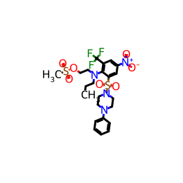 CCCN(CCOS(C)(=O)=O)c1c(C(F)(F)F)cc([N+](=O)[O-])cc1S(=O)(=O)N1CCN(c2ccccc2)CC1